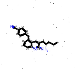 CCCCCc1cc2c(Cc3ccc(C#N)cc3)cccc2nc1N